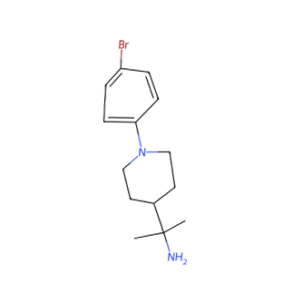 CC(C)(N)C1CCN(c2ccc(Br)cc2)CC1